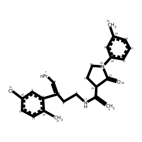 C=C(NCC/C(=C/CCC)c1cc(Cl)ccc1C)C1CCN(c2cccc(C)c2)C1=O